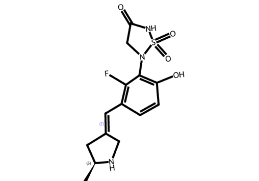 C[C@H]1C/C(=C/c2ccc(O)c(N3CC(=O)NS3(=O)=O)c2F)CN1